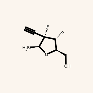 B[C@@H]1O[C@H](CO)[C@@H](C)[C@]1(F)C#C